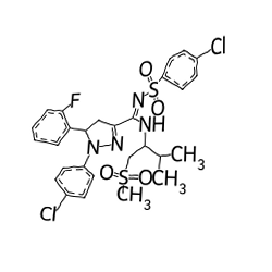 CC(C)C(CS(C)(=O)=O)NC(=NS(=O)(=O)c1ccc(Cl)cc1)C1=NN(c2ccc(Cl)cc2)C(c2ccccc2F)C1